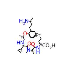 CC(C)CC[C@@H](NC(=O)[C@@H](C)N(C)C(=O)[C@@H](NC[C@@H](C)Oc1ccccc1CC[C@H](C)N)C1CC1)C(=O)O